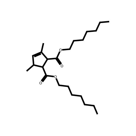 CCCCCCCOC(=O)C1C(C)=CC(C)C1C(=O)OCCCCCCC